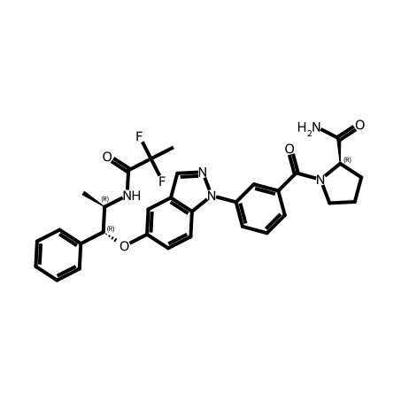 C[C@@H](NC(=O)C(C)(F)F)[C@H](Oc1ccc2c(cnn2-c2cccc(C(=O)N3CCC[C@@H]3C(N)=O)c2)c1)c1ccccc1